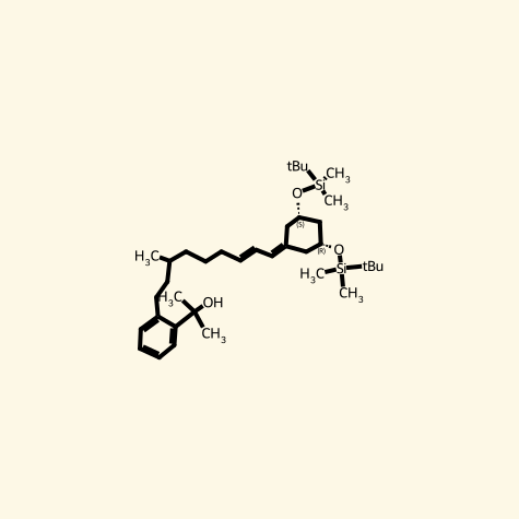 CC(CCCC=CC=C1C[C@@H](O[Si](C)(C)C(C)(C)C)C[C@@H](O[Si](C)(C)C(C)(C)C)C1)CCc1ccccc1C(C)(C)O